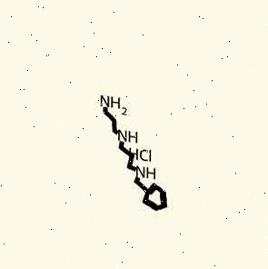 Cl.NCCCNCCCNCc1ccccc1